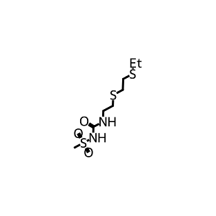 CCSCCSCCNC(=O)NS(C)(=O)=O